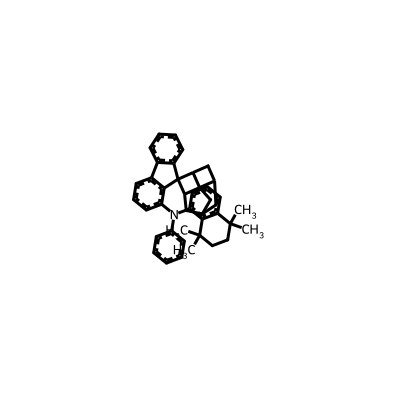 CC1(C)CCC(C)(C)c2c(N(c3ccccc3)c3cccc4c3C3(c5ccccc5-4)C4CC5CC6CC3C64C5)cccc21